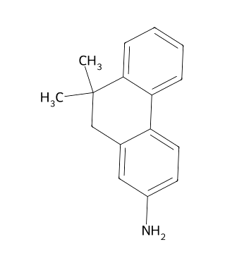 CC1(C)Cc2cc(N)ccc2-c2ccccc21